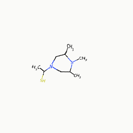 CC(S)N1CC(C)N(C)C(C)C1